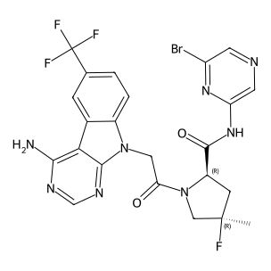 C[C@@]1(F)C[C@H](C(=O)Nc2cncc(Br)n2)N(C(=O)Cn2c3ccc(C(F)(F)F)cc3c3c(N)ncnc32)C1